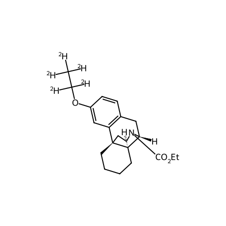 [2H]C([2H])([2H])C([2H])([2H])Oc1ccc2c(c1)[C@@]13CCCC[C@@H]1[C@@H](C2)N(C(=O)OCC)CC3